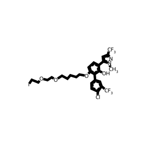 Cn1nc(C(F)(F)F)cc1-c1ccc(OCCCCCOCCOCCI)c(-c2ccc(Cl)c(C(F)(F)F)c2)c1O